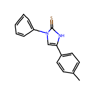 Cc1ccc(-c2cn(-c3ccccc3)c(=S)[nH]2)cc1